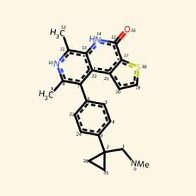 CNCC1(c2ccc(-c3c(C)nc(C)c4[nH]c(=O)c5sccc5c34)cc2)CC1